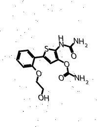 NC(=O)Nc1sc(-c2ccccc2OCCO)cc1OC(N)=O